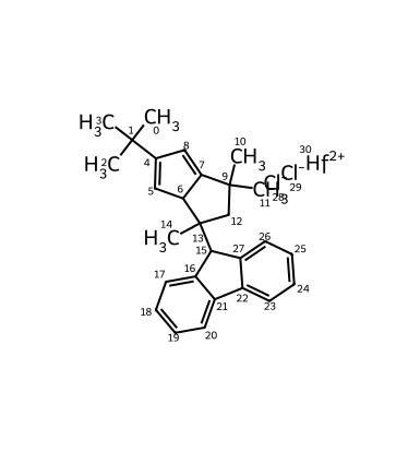 CC(C)(C)C1=CC2C(=C1)C(C)(C)CC2(C)C1c2ccccc2-c2ccccc21.[Cl-].[Cl-].[Hf+2]